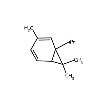 CC1=CC2(C(C)C)C(C=C1)C2(C)C